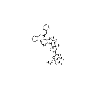 CC(C)(C)OC(=O)N1CC[C@H](n2c(=O)[nH]c3c(N(Cc4ccccc4)Cc4ccccc4)ncnc32)C(F)(F)C1